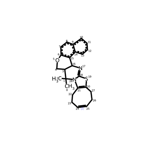 CC1(C)C2COc3ccc4ccccc4c3C2N=C2SC3=C(CC/C=C\CC3)N21